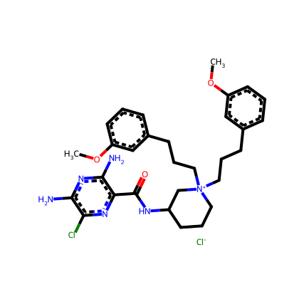 COc1cccc(CCC[N+]2(CCCc3cccc(OC)c3)CCCC(NC(=O)c3nc(Cl)c(N)nc3N)C2)c1.[Cl-]